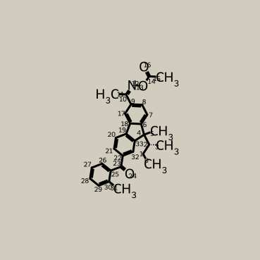 CC[C@@H](C)C1(C)c2ccc(/C(C)=N\OC(C)=O)cc2-c2ccc(C(=O)c3ccccc3C)cc21